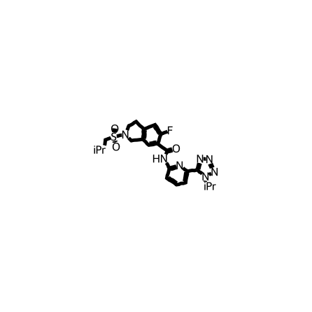 CC(C)CS(=O)(=O)N1CCc2cc(F)c(C(=O)Nc3cccc(-c4nnnn4C(C)C)n3)cc2C1